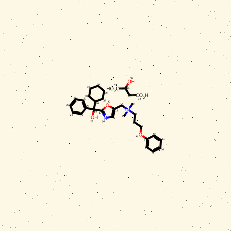 C[N+](C)(CCCOc1ccccc1)Cc1cnc(C(O)(c2ccccc2)C2CCCCC2)o1.O=C(O)CC(O)C(=O)O